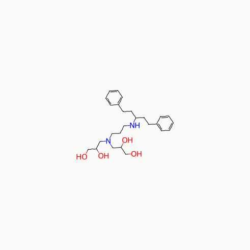 OCC(O)CN(CCCNC(CCc1ccccc1)CCc1ccccc1)CC(O)CO